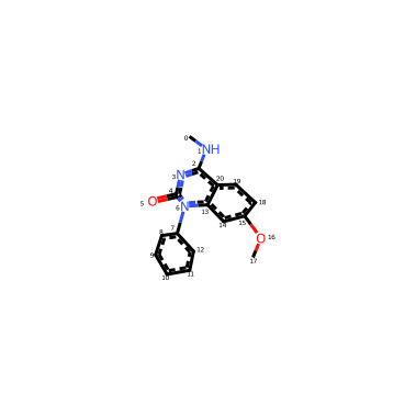 CNc1nc(=O)n(-c2ccccc2)c2cc(OC)ccc12